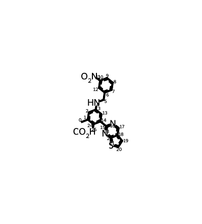 Cc1cc(NCc2cccc([N+](=O)[O-])c2)cc(-c2ncc3ccsc3n2)c1C(=O)O